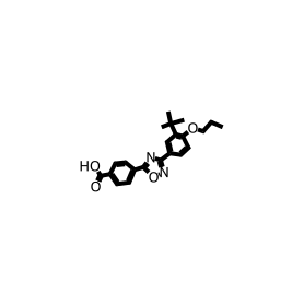 CCCOc1ccc(-c2noc(-c3ccc(C(=O)O)cc3)n2)cc1C(C)(C)C